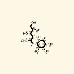 C[C@@H]1O[C@@H](O[C@@H](C=O)[C@@H](O)[C@H](O)[C@H](O)CO)[C@H](O)[C@H](O)[C@H]1O